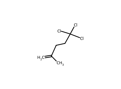 C=C(C)CCC(Cl)(Cl)Cl